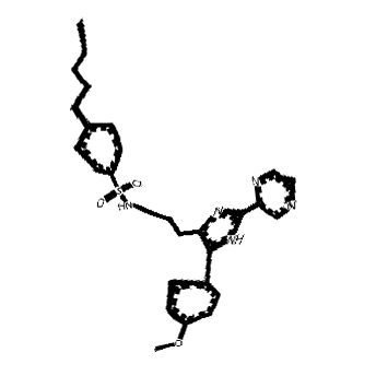 CCCCCc1ccc(S(=O)(=O)NCCc2nc(-c3cnccn3)[nH]c2-c2ccc(OC)cc2)cc1